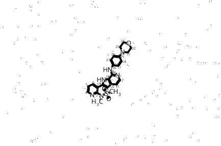 CN(c1ncccc1-c1cc2ccnc(Nc3ccc(N4CCOCC4)cc3)c2[nH]1)S(C)(=O)=O